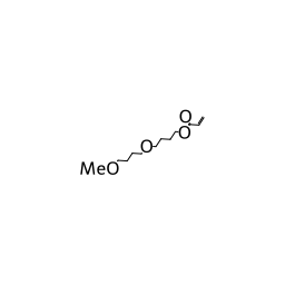 C=CC(=O)OCCCCOCCCCOC